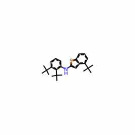 CC(C)(C)c1cccc(Nc2cc3c(C(C)(C)C)cccc3s2)c1C(C)(C)C